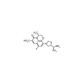 C[C@H](N)[C@@H]1CCN(c2cc(F)c3cc(C(=O)O)c(=O)n4c3c2OC[C@@H]4C)C1